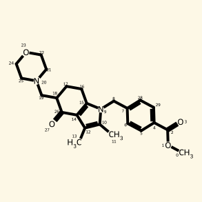 COC(=O)c1ccc(Cn2c(C)c(C)c3c2CCC(CN2CCOCC2)C3=O)cc1